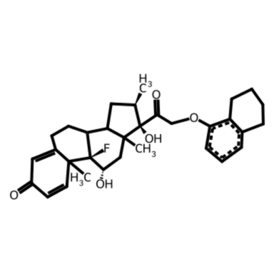 C[C@@H]1CC2C3CCC4=CC(=O)C=CC4(C)[C@@]3(F)[C@@H](O)CC2(C)[C@@]1(O)C(=O)COc1cccc2c1CCCC2